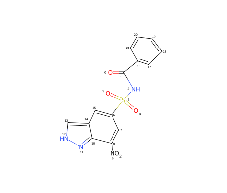 O=C(NS(=O)(=O)c1cc([N+](=O)[O-])c2n[nH]cc2c1)c1ccccc1